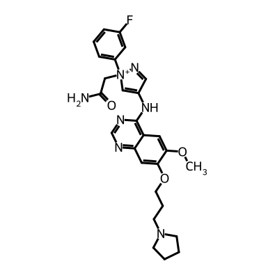 COc1cc2c(NC3=C[N+](CC(N)=O)(c4cccc(F)c4)N=C3)ncnc2cc1OCCCN1CCCC1